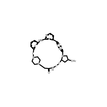 CC(=O)OC1CC2CCNC(=O)CN3CCN(CC3)Cc3cccc(c3)Nc3nccc(n3)-c3ccc(nc3)N2C1